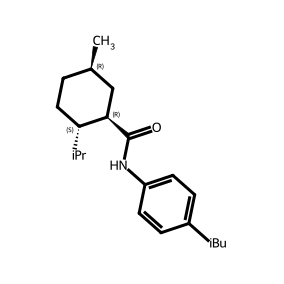 CCC(C)c1ccc(NC(=O)[C@@H]2C[C@H](C)CC[C@H]2C(C)C)cc1